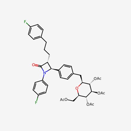 CC(=O)OC[C@H]1O[C@@H](Cc2ccc([C@@H]3[C@@H](CCCc4ccc(F)cc4)C(=O)N3c3ccc(F)cc3)cc2)[C@H](OC(C)=O)[C@@H](OC(C)=O)[C@@H]1OC(C)=O